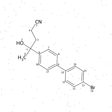 CC(O)(CCC#N)c1ccc(-c2ccc(Br)cc2)cc1